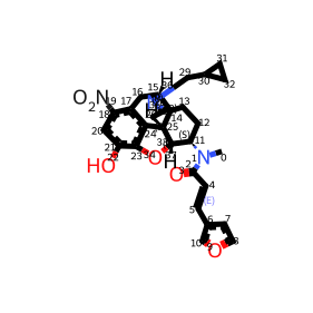 CN(C(=O)/C=C/c1ccoc1)[C@H]1CC[C@H]2[C@H]3Cc4c([N+](=O)[O-])cc(O)c5c4[C@@]2(CCN3CC2CC2)[C@H]1O5